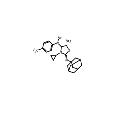 CC(=O)N(c1ccc(C(F)(F)F)cc1)C1CSC(=NC23CC4CC(CC(C4)C2)C3)N1C1CC1.Cl